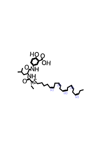 CC/C=C\C/C=C\C/C=C\C/C=C\C/C=C\CCCCS[C@H](CC)C(=O)NC(CC(C)C)C(=O)Nc1ccc(O)c(C(=O)O)c1